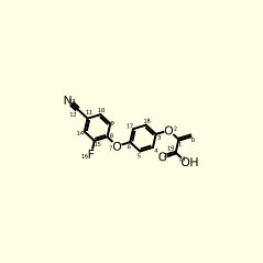 C=C(Oc1ccc(Oc2ccc(C#N)cc2F)cc1)C(=O)O